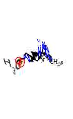 CC(C)c1c(-c2cc(N3CCN(C)CC3)c3ncnn3c2)[nH]c2ccc(C3CCN(CCS(C)(=O)=O)CC3)cc12